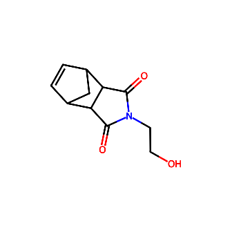 O=C1C2C3C=CC(C3)C2C(=O)N1CCO